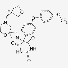 O=C1NC(=O)C(c2ccc(Oc3ccc(OC(F)(F)F)cc3)cc2)(N2CC3(CN(C[C@H]4CCOC4)CCO3)C2)C(=O)N1